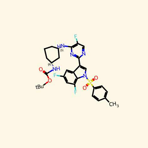 Cc1ccc(S(=O)(=O)n2cc(-c3ncc(F)c(N[C@H]4CCC[C@@H](NC(=O)OC(C)(C)C)C4)n3)c3cc(F)cc(F)c32)cc1